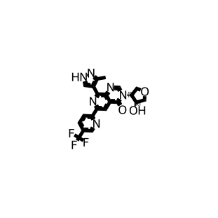 Cc1n[nH]cc1-c1nc(-c2ccc(C(F)(F)F)cn2)cc2c(=O)n([C@@H]3COC[C@@H]3O)cnc12